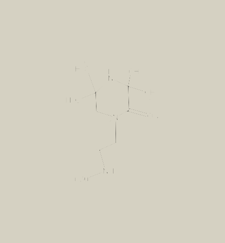 CCCCNCCN1CC(C)(C)NC(C)(C)C1=O